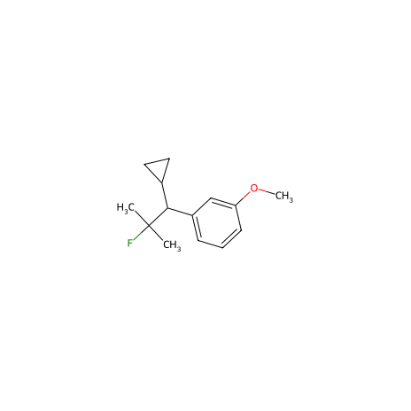 COc1cccc(C(C2CC2)C(C)(C)F)c1